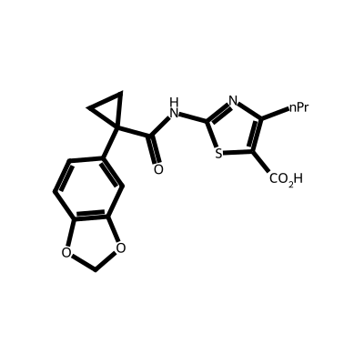 CCCc1nc(NC(=O)C2(c3ccc4c(c3)OCO4)CC2)sc1C(=O)O